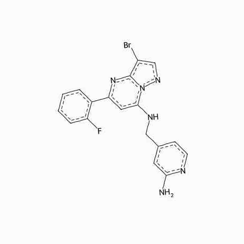 Nc1cc(CNc2cc(-c3ccccc3F)nc3c(Br)cnn23)ccn1